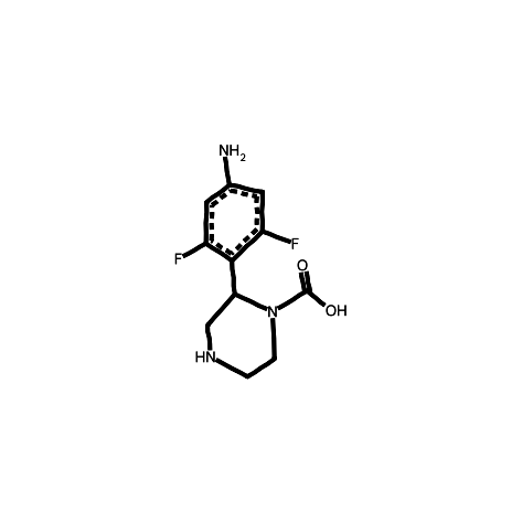 Nc1cc(F)c(C2CNCCN2C(=O)O)c(F)c1